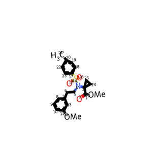 COC(=O)C1(N(CCc2cccc(OC)c2)S(=O)(=O)c2ccc(C)cc2)CC1